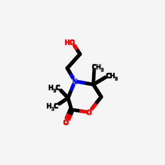 CC1(C)COC(=O)C(C)(C)N1CCO